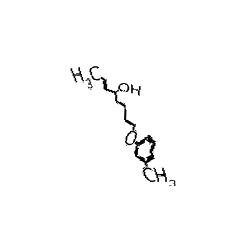 C/C=C/[C@@H](O)CCCCOc1cccc(C)c1